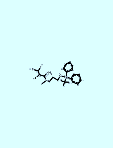 CN(CCCO[Si](c1ccccc1)(c1ccccc1)C(C)(C)C)C(N)C(F)C(F)F